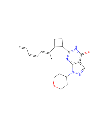 C=C/C=C\C=C(/C)C1CCC1c1nc2c(cnn2C2CCOCC2)c(=O)[nH]1